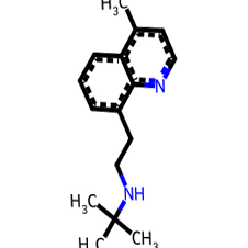 Cc1ccnc2c(CCNC(C)(C)C)cccc12